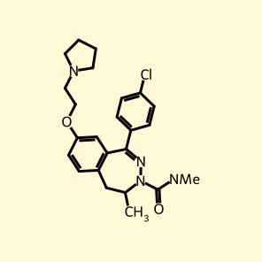 CNC(=O)N1N=C(c2ccc(Cl)cc2)c2cc(OCCN3CCCC3)ccc2CC1C